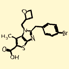 Cc1c(C(=O)O)sc2nc(Cc3ccc(Br)cc3)n(CC3CCO3)c12